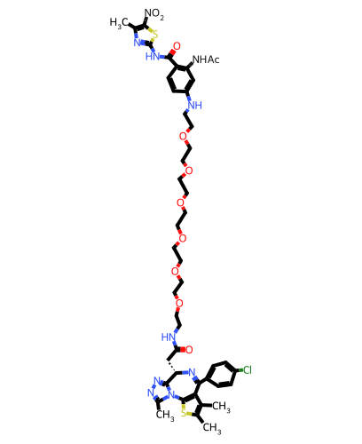 CC(=O)Nc1cc(NCCOCCOCCOCCOCCOCCOCCNC(=O)C[C@@H]2N=C(c3ccc(Cl)cc3)c3c(sc(C)c3C)-n3c(C)nnc32)ccc1C(=O)Nc1nc(C)c([N+](=O)[O-])s1